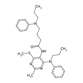 CCCN(CCCC(=O)Nc1c(SC)nc(C)nc1N(CCC)c1ccccc1)c1ccccc1